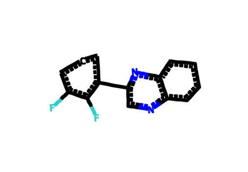 Fc1cccc(-c2cnc3ccccc3n2)c1F